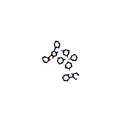 c1ccc([Si](c2ccccc2)(c2ccc(-n3c4ccccc4c4cnccc43)cc2)c2cccc(-n3c4ccccc4c4cc5c(cc43)oc3ccccc35)c2)cc1